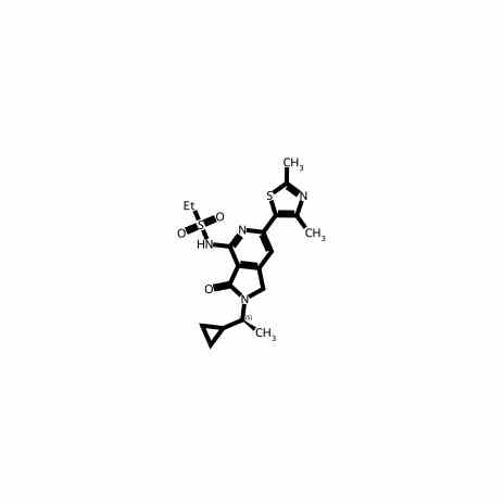 CCS(=O)(=O)Nc1nc(-c2sc(C)nc2C)cc2c1C(=O)N([C@@H](C)C1CC1)C2